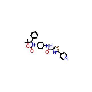 CC1(C)OC(=O)N(C2CCC(NC(=O)c3csc(-c4ccncc4)n3)CC2)C1c1ccccc1